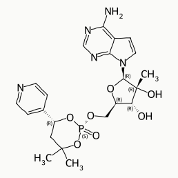 CC1(C)C[C@H](c2ccncc2)O[P@](=O)(OC[C@H]2O[C@@H](n3ccc4c(N)ncnc43)[C@](C)(O)[C@@H]2O)O1